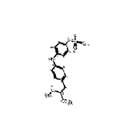 CCOC(=O)C(Cc1ccc(Nc2ccc(OS(C)(=O)=O)cc2)cc1)OCC